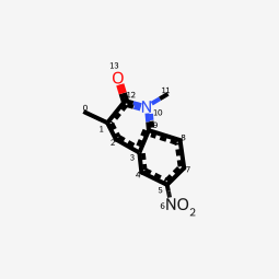 Cc1cc2cc([N+](=O)[O-])ccc2n(C)c1=O